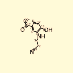 N#CCCNc1cc([N+](=O)[O-])ccc1O